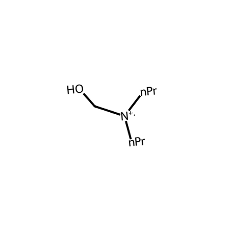 CCC[N+](CO)CCC